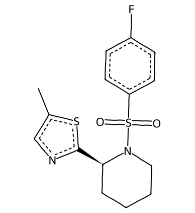 Cc1cnc([C@@H]2CCCCN2S(=O)(=O)c2ccc(F)cc2)s1